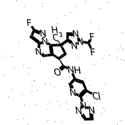 C[C@]1(c2cnn(C(F)F)n2)C[C@@H](C(=O)Nc2cnc(-n3nccn3)c(Cl)c2)c2cnc3cc(F)nn3c21